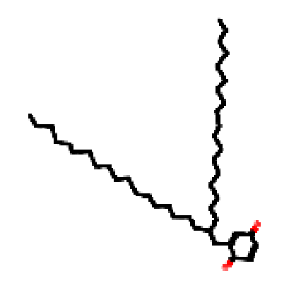 CCCCCCCCCCCCCCCCCCC(CCCCCCCCCCCCCCCCCC)CC1=CC(=O)C=CC1=O